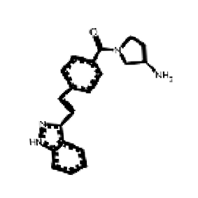 N[C@@H]1CCN(C(=O)c2ccc(/C=C/c3n[nH]c4ccccc34)cc2)C1